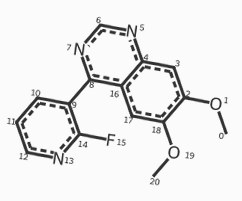 COc1cc2ncnc(-c3cccnc3F)c2cc1OC